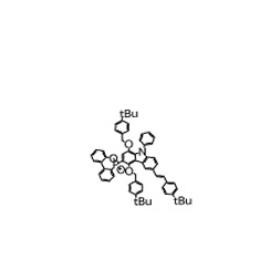 CC(C)(C)c1ccc(/C=C/c2ccc3c(c2)c2c(OCc4ccc(C(C)(C)C)cc4)c(P4(=O)Oc5ccccc5-c5ccccc54)cc(OCc4ccc(C(C)(C)C)cc4)c2n3-c2ccccc2)cc1